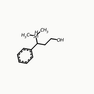 [CH3][SnH]([CH3])[CH](CCO)c1ccccc1